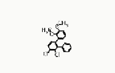 COc1cccc(-c2c[c]c(Cl)c(Cl)c2-c2ccccc2)c1OC